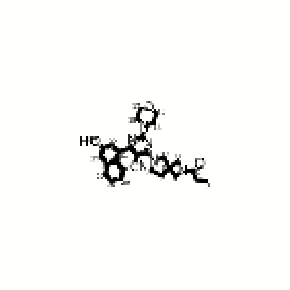 C=CC(=O)N1CC2(CCN(c3nc(N4CCOCC4)nc(-c4cc(O)cc5ccccc45)c3C#N)C2)C1